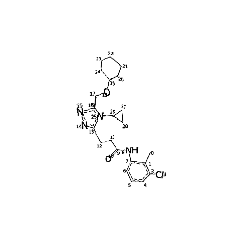 Cc1c(Cl)cccc1NC(=O)CCc1nnc(COC2CCCCC2)n1C1CC1